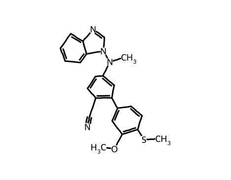 COc1cc(-c2cc(N(C)n3cnc4ccccc43)ccc2C#N)ccc1SC